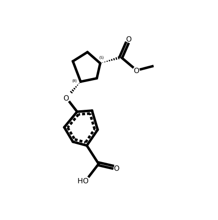 COC(=O)[C@H]1CC[C@@H](Oc2ccc(C(=O)O)cc2)C1